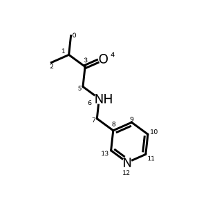 CC(C)C(=O)CNCc1cccnc1